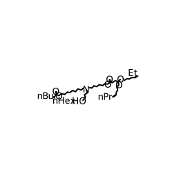 CC/C=C\CCCCOC(CCC(=O)OCCCCCCCN(CCCO)CCCCCCCCCOC(=O)C(CCCC)CCCCCC)OCCC/C=C\CCC